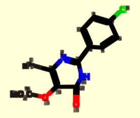 CCCc1nc(-c2ccc(Cl)cc2)[nH]c(=O)c1OC(=O)OCC